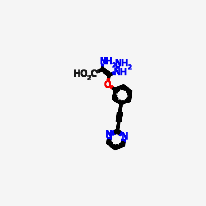 NN/C(Oc1cccc(C#Cc2ncccn2)c1)=C(\N)C(=O)O